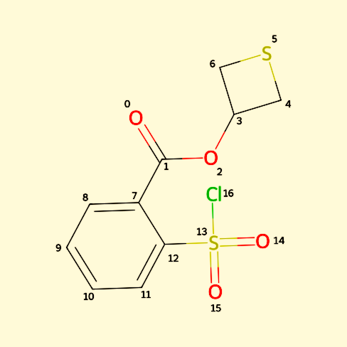 O=C(OC1CSC1)c1ccccc1S(=O)(=O)Cl